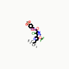 Cn1nc(C(=O)NCC2(O)CCC(S(C)(=O)=O)CC2)c(Cl)c1-c1cnc(CC(C(F)(F)F)C(F)(F)F)cc1OC(F)F